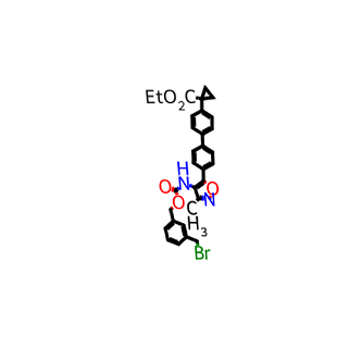 CCOC(=O)C1(c2ccc(-c3ccc(-c4onc(C)c4NC(=O)OCc4cccc(CBr)c4)cc3)cc2)CC1